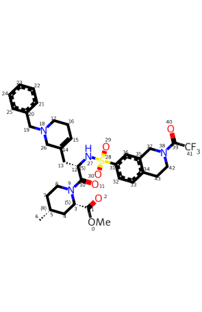 COC(=O)[C@@H]1C[C@H](C)CCN1C(=O)[C@H](CC1=CCCN(Cc2ccccc2)C1)NS(=O)(=O)c1ccc2c(c1)CN(C(=O)C(F)(F)F)CC2